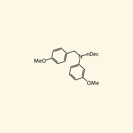 CCCCCCCCCCN(Cc1ccc(OC)cc1)c1cccc(OC)c1